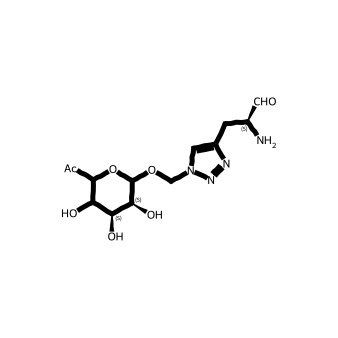 CC(=O)C1OC(OCn2cc(C[C@H](N)C=O)nn2)[C@@H](O)[C@@H](O)C1O